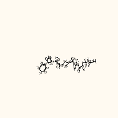 C[C@H](CC(C)(C)[Si](C)(C)O)C(=O)NNC(=O)C1CC(NC(=O)c2cc(-c3ccccc3)on2)C1